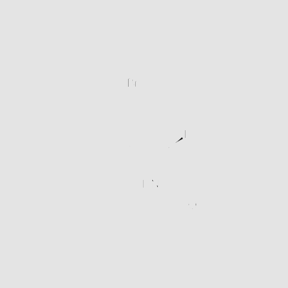 O=C1C[C@H]2Cc3c(Br)cccc3C2N1